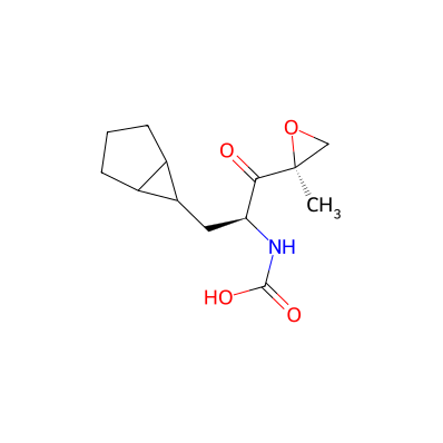 C[C@@]1(C(=O)[C@H](CC2C3CCCC32)NC(=O)O)CO1